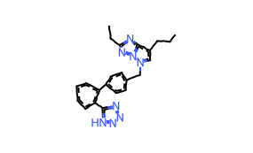 CCCc1cn(Cc2ccc(-c3ccccc3-c3nnn[nH]3)cc2)n2nc(CC)nc12